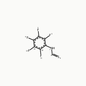 Fc1c(F)c(F)c(N[C]=S)c(F)c1F